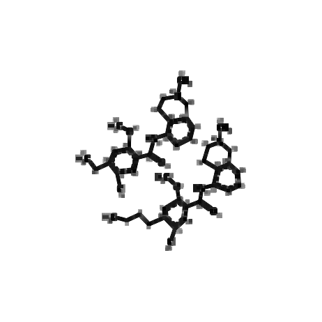 CCCCc1cc(OC)c(C(=O)Nc2cccc3c2CCN(C)C3)cc1Cl.CCc1cc(OC)c(C(=O)Nc2cccc3c2CCN(C)C3)cc1Cl